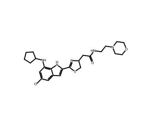 O=C(CC1CSC(c2cc3cc(Cl)cc(NC4CCCC4)c3[nH]2)=N1)NCCN1CCOCC1